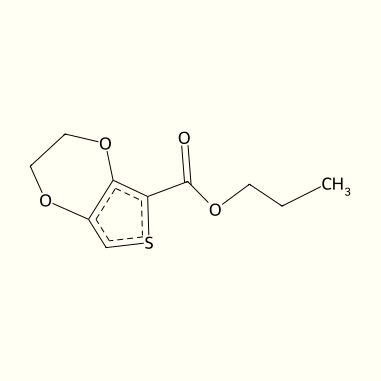 CCCOC(=O)c1scc2c1OCCO2